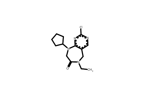 CCN1Cc2cnc(Cl)nc2N(C2CCCC2)CC1=O